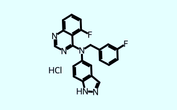 Cl.Fc1cccc(CN(c2ccc3[nH]ncc3c2)c2ncnc3cccc(F)c23)c1